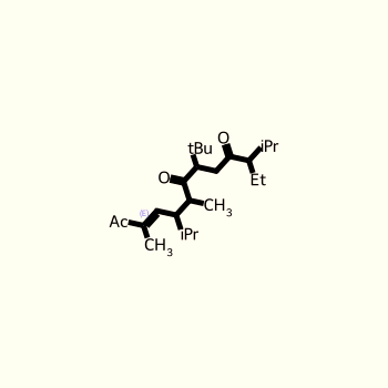 CCC(C(=O)CC(C(=O)C(C)C(/C=C(\C)C(C)=O)C(C)C)C(C)(C)C)C(C)C